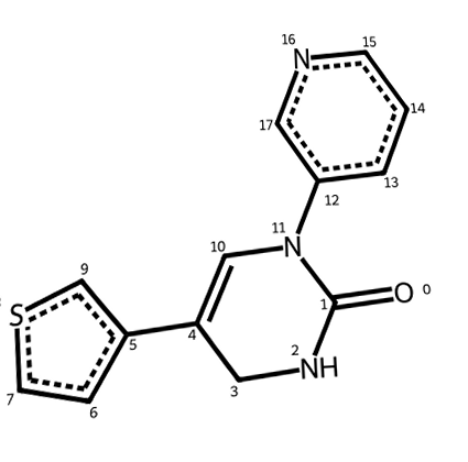 O=C1NCC(c2ccsc2)=CN1c1cccnc1